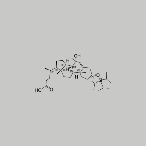 CC(C)[Si](O[C@H]1CC[C@@]2(C)C(=CC(C)(O)[C@H]3[C@@H]4CC[C@H]([C@H](C)CCC(=O)O)[C@@]4(C)CC[C@@H]32)C1)(C(C)C)C(C)C